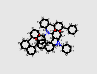 c1ccc(-c2ccc(-c3ccccc3N(c3ccc(-c4cccc5cccc(-c6ccccc6)c45)cc3)c3cccc4c3c3c5ccccc5ccc3n4-c3ccccc3)cc2)cc1